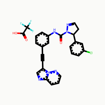 O=C(Nc1cccc(C#Cc2cnc3cccnn23)c1)N1N=CCC1c1cccc(Cl)c1.O=C(O)C(F)(F)F